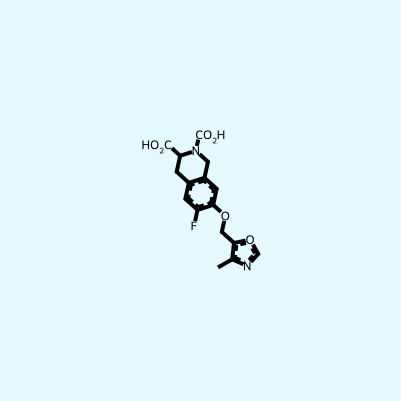 Cc1ncoc1COc1cc2c(cc1F)CC(C(=O)O)N(C(=O)O)C2